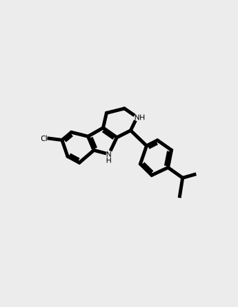 CC(C)c1ccc(C2NCCc3c2[nH]c2ccc(Cl)cc32)cc1